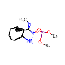 CCOP(OCC)ON/C(=N/C)C1=CCC=CC=C1N